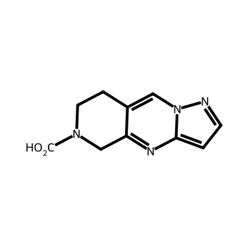 O=C(O)N1CCc2cn3nccc3nc2C1